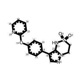 O=S1(=O)CCn2ncc(-c3ccc(Oc4ccccn4)cc3)c2N1